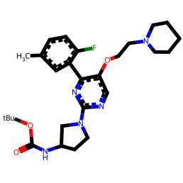 Cc1ccc(F)c(-c2nc(N3CCC(NC(=O)OC(C)(C)C)C3)ncc2OCCN2CCCCC2)c1